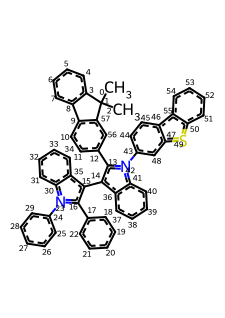 CC1(C)c2ccccc2-c2ccc(-c3c(-c4c(-c5ccccc5)n(-c5ccccc5)c5ccccc45)c4ccccc4n3-c3ccc4c(c3)sc3ccccc34)cc21